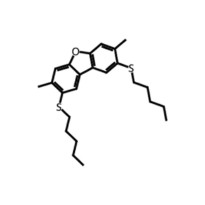 CCCCCSc1cc2c(cc1C)oc1cc(C)c(SCCCCC)cc12